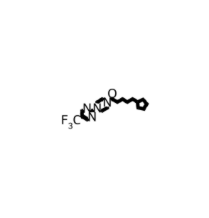 O=C(CCCCC1CCCC1)N1CCN(c2ncc(C(F)(F)F)cn2)CC1